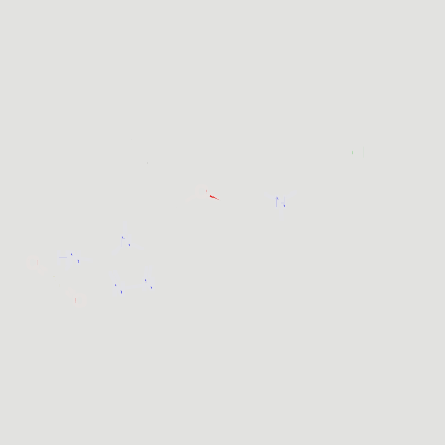 CS(=O)(=O)Nc1nnc2cc(O[C@@H]3CCCN(Cc4ccc(F)cc4Cl)C3)c(C3CC3)cn12